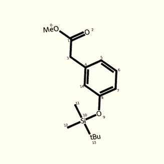 COC(=O)Cc1cccc(O[Si](C)(C)C(C)(C)C)c1